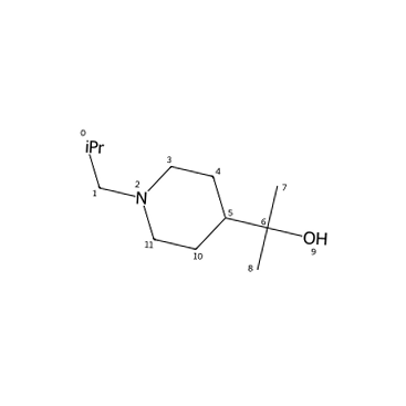 CC(C)CN1CCC(C(C)(C)O)CC1